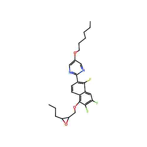 CCCCCCOc1cnc(-c2ccc3c(OCC4OC4CCC)c(F)c(F)cc3c2F)nc1